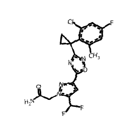 Cc1cc(F)cc(Cl)c1C1(c2noc(-c3cc(C(F)F)n(CC(N)=O)n3)n2)CC1